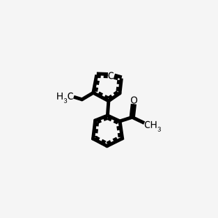 CCc1ccccc1-c1ccccc1C(C)=O